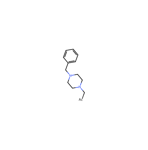 CC(=O)CN1CCN(Cc2ccccc2)CC1